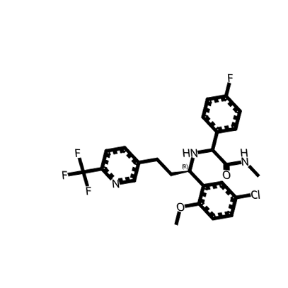 CNC(=O)C(N[C@H](CCc1ccc(C(F)(F)F)nc1)c1cc(Cl)ccc1OC)c1ccc(F)cc1